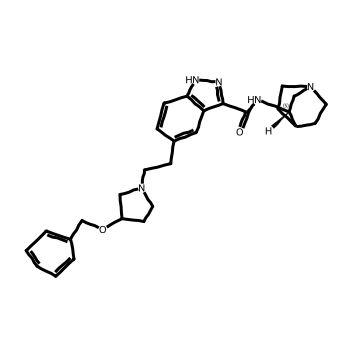 O=C(N[C@@H]1CN2CCC1CC2)c1n[nH]c2ccc(CCN3CCC(OCc4ccccc4)C3)cc12